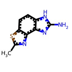 Cc1nc2c(ccc3[nH]c(N)nc32)s1